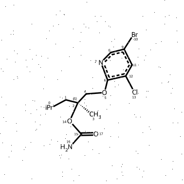 CC(C)C[C@@](C)(COc1ncc(Br)cc1Cl)OC(N)=O